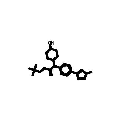 C=C(CCC(C)(C)C)C(c1ccc(C2=CC(C)C=C2)cc1)C1CCC(O)CC1